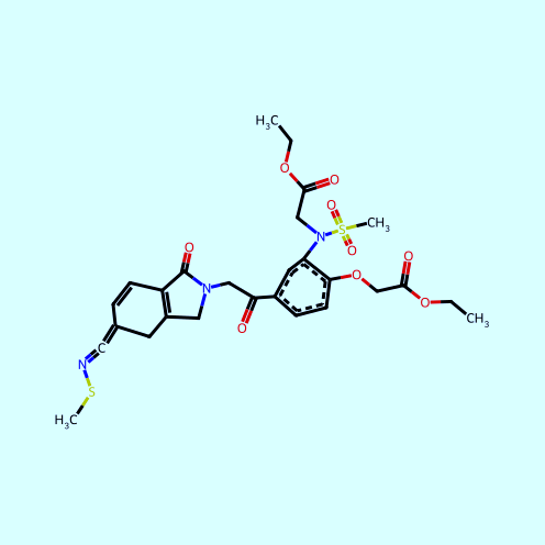 CCOC(=O)COc1ccc(C(=O)CN2CC3=C(C=CC(=C=NSC)C3)C2=O)cc1N(CC(=O)OCC)S(C)(=O)=O